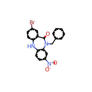 O=C1c2cc(Br)ccc2Nc2ccc([N+](=O)[O-])cc2N1Cc1ccccc1